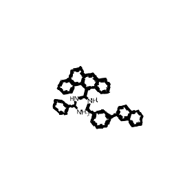 NC(NC(NCc1cccc(-c2ccc3ccccc3c2)c1)c1c2ccccc2cc2ccc3ccccc3c12)c1ccccc1